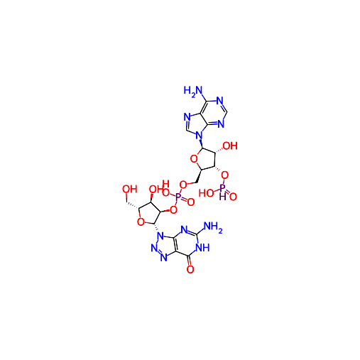 Nc1nc2c(nnn2[C@@H]2O[C@H](CO)[C@@H](O)[C@H]2OP(=O)(O)OC[C@H]2O[C@@H](n3cnc4c(N)ncnc43)[C@H](O)[C@@H]2O[PH](=O)O)c(=O)[nH]1